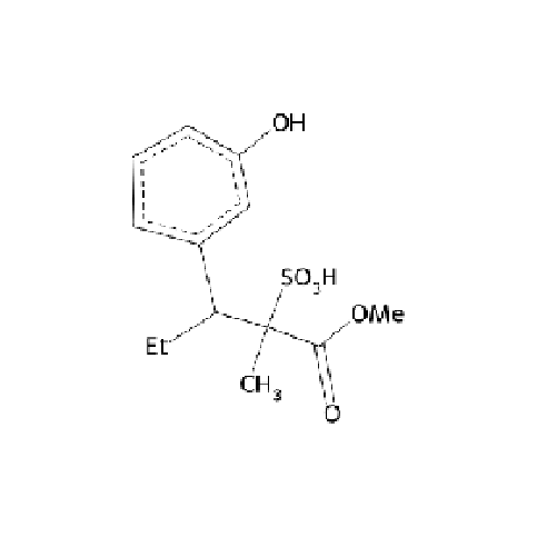 CCC(c1cccc(O)c1)C(C)(C(=O)OC)S(=O)(=O)O